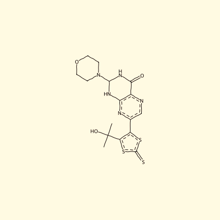 CC(C)(O)c1sc(=S)sc1-c1cnc2c(n1)NC(N1CCOCC1)NC2=O